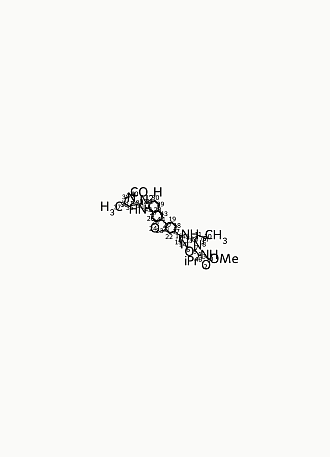 COC(=O)NC(C(=O)N1C[C@@H](C)C[C@H]1c1ncc(-c2ccc3c(c2)COc2cc4c(ccc5nc([C@@H]6C[C@H](C)CN6C(=O)O)[nH]c54)cc2-3)[nH]1)C(C)C